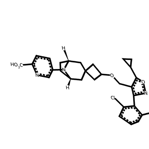 O=C(O)c1ccc(N2[C@@H]3CC[C@H]2CC2(CC(OCc4c(-c5c(Cl)cccc5Cl)noc4C4CC4)C2)C3)cn1